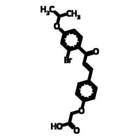 CC(C)Oc1ccc(C(=O)C=Cc2ccc(OCC(=O)O)cc2)c(Br)c1